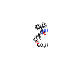 O=C(O)COc1cccc2c1CCC(CCn1cc(C(c3ccccc3)c3ccccc3)[nH]c1=O)C2